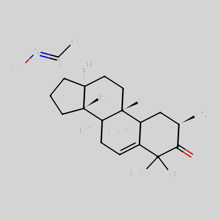 C/C(=N/O)[C@H]1CC[C@H]2[C@@H]3CC=C4C(C)(C)C(=O)[C@H](C#N)C[C@]4(C)[C@H]3CC[C@]12C